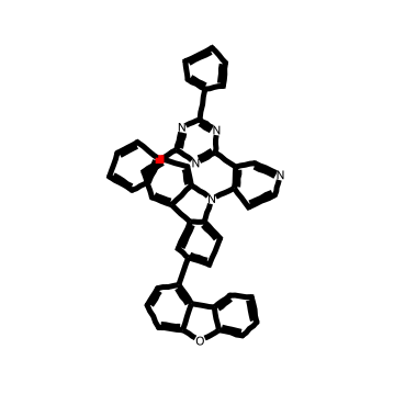 c1ccc(-c2nc(-c3ccccc3)nc(-c3cnccc3-n3c4ccccc4c4cc(-c5cccc6oc7ccccc7c56)ccc43)n2)cc1